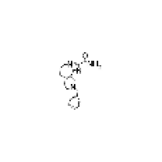 NC(=O)c1cn2c(n1)C1=C(CCC2)CCN(Cc2ccccc2)C1